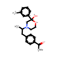 COC(=O)c1ccc(CC(C)N2CCOC(O)(c3cccc(C(F)(F)F)c3)C2)cc1